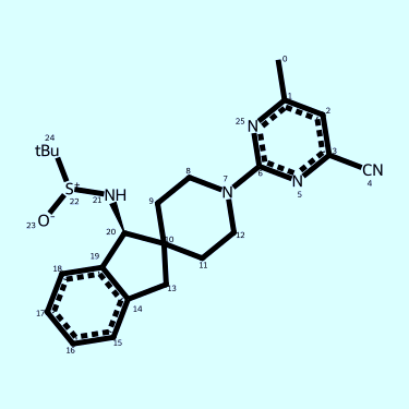 Cc1cc(C#N)nc(N2CCC3(CC2)Cc2ccccc2[C@H]3N[S+]([O-])C(C)(C)C)n1